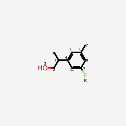 C[C](CO)c1cc(C)cc(F)c1